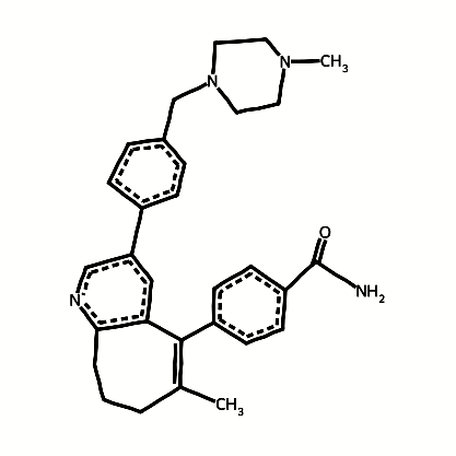 CC1=C(c2ccc(C(N)=O)cc2)c2cc(-c3ccc(CN4CCN(C)CC4)cc3)cnc2CCC1